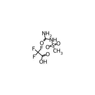 CS(=O)(=O)NC(N)=O.O=C(O)C(F)(F)F